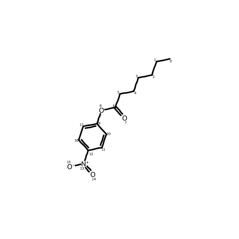 CCCCCCC(=O)Oc1ccc([N+](=O)[O-])cc1